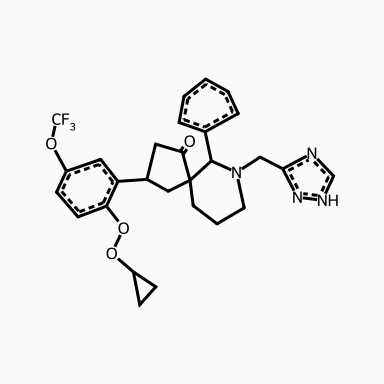 O=C1CC(c2cc(OC(F)(F)F)ccc2OOC2CC2)CC12CCCN(Cc1nc[nH]n1)C2c1ccccc1